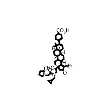 CC(C)C1=C2[C@H]3CC[C@@H]4[C@@]5(C)CC=C(C6=CCC(C(=O)O)CC6)C(C)(C)[C@@H]5CC[C@@]4(C)[C@]3(C)CC[C@@]2([C@@H](O)CN(CC2CC2)C(=O)CN2CCCC2=O)CC1=O